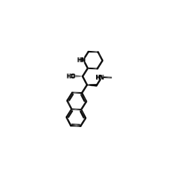 CNC[C@@H](c1ccc2ccccc2c1)[C@H](O)C1CCCCN1